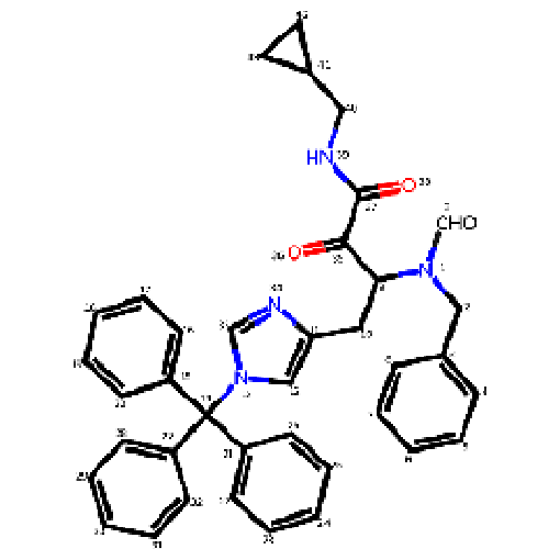 O=CN(Cc1ccccc1)C(Cc1cn(C(c2ccccc2)(c2ccccc2)c2ccccc2)cn1)C(=O)C(=O)NCC1CC1